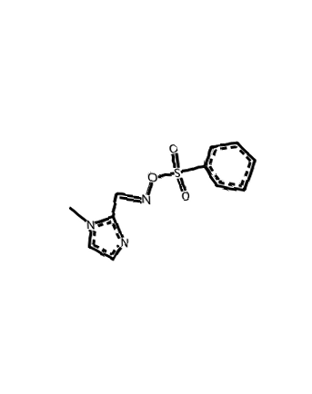 Cn1ccnc1C=NOS(=O)(=O)c1ccccc1